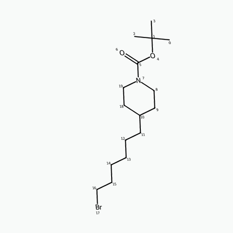 CC(C)(C)OC(=O)N1CCC(CCCCCCBr)CC1